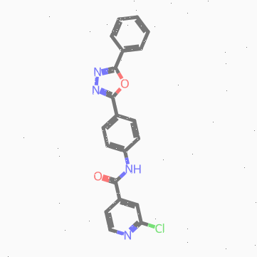 O=C(Nc1ccc(-c2nnc(-c3ccccc3)o2)cc1)c1ccnc(Cl)c1